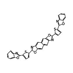 c1ccc2oc(-c3ccc(-c4nc5cc6cc7oc(-c8ccc(-c9nc%10ccccc%10o9)s8)nc7cc6cc5o4)s3)nc2c1